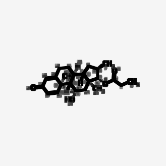 CCC(=O)O[C@H]1[C@H](C)C[C@H]2[C@@H]3CCC4=CC(=O)C=C[C@]4(C)[C@H]3[C@@H](O)C[C@@]21C